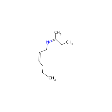 CCC/C=C\C/N=C(/C)CC